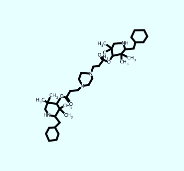 CC1(C)CNC(CC2CCCCC2)C(C)(C)C1OC(=O)CCN1CCN(CCC(=O)OC2C(C)(C)CNC(CC3CCCCC3)C2(C)C)CC1